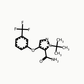 CC(C)(C)n1ncc(Oc2cccc(C(F)(F)F)c2)c1C(N)=O